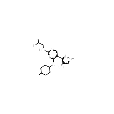 CCC(F)CNc1ncc(-c2nn(C)cc2C)c(NC2CCC(O)CC2)n1